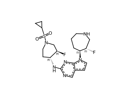 O=S(=O)(C1CC1)N1CC[C@@H](Nc2ncc3ccn([C@H]4CCCNC[C@@H]4F)c3n2)[C@H](F)C1